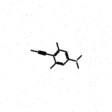 CC#Cc1c(C)cc(N(C)C)cc1C